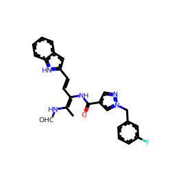 C/C(NC=O)=C(/C=C/c1cc2ccccc2[nH]1)NC(=O)c1cnn(Cc2cccc(F)c2)c1